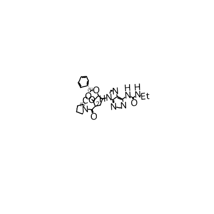 CCNC(=O)Nc1ncnc2c1ncn2C1CC(C(=O)N2CCC[C@H]2C(=O)O)C2O[C@H](c3ccccc3)OC21